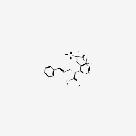 C.CCC[C@@](Cc1c(C)ccnc1[C@H](C/C=C/c1ccccc1)C(=O)NO)(C(=O)NN)S(C)(=O)=O.O=S(=O)(O)O